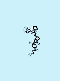 CCOC(=O)C1CCC(O)(C2CC3C(C=CC(O[Si](C)(C)C(C)(C)C)C4CCCCC4)CCC3C2=O)CC1